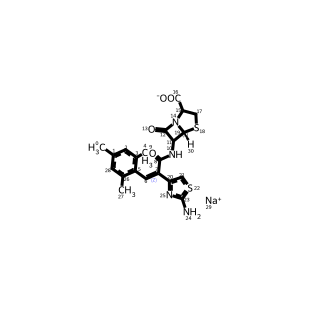 Cc1cc(C)c(/C=C(\C(=O)NC2C(=O)N3C(C(=O)[O-])CS[C@H]23)c2csc(N)n2)c(C)c1.[Na+]